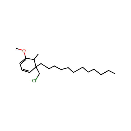 CCCCCCCCCCCCC1(CCl)C=CC=C(OC)C1C